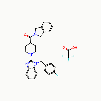 O=C(C1CCN(c2nc3ccccc3n2Cc2ccc(F)cc2)CC1)N1Cc2ccccc2C1.O=C(O)C(F)(F)F